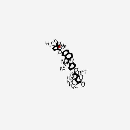 CCCC1(C(=O)Oc2ccc([C@H]3[C@H]4CCc5ccc(OC(=O)C67CCC(C)(C(=O)O6)C7(C)CC)cc5C4=NN3C(C)=O)cc2)OC(=O)C(C)C1(C)C